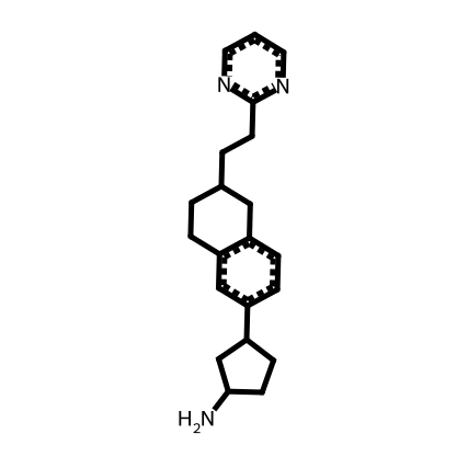 NC1CCC(c2ccc3c(c2)CCC(CCc2ncccn2)C3)C1